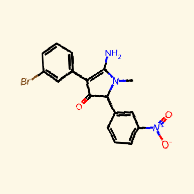 CN1C(N)=C(c2cccc(Br)c2)C(=O)C1c1cccc([N+](=O)[O-])c1